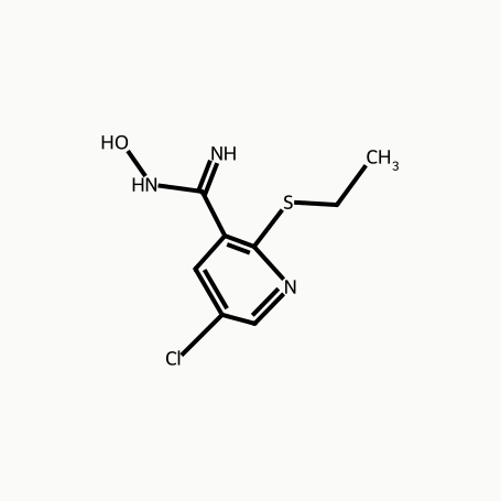 CCSc1ncc(Cl)cc1C(=N)NO